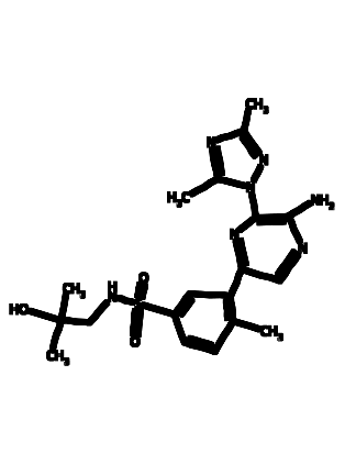 Cc1nc(C)n(-c2nc(-c3cc(S(=O)(=O)NCC(C)(C)O)ccc3C)cnc2N)n1